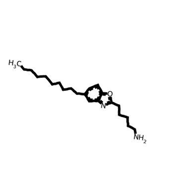 CCCCCCCCCCc1ccc2oc(CCCCCN)nc2c1